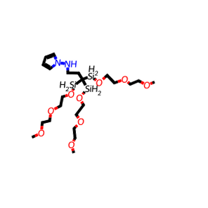 COCCOCCO[SiH2]C(CCNn1cccc1)([SiH2]OCCOCCOC)[SiH2]OCCOCCOC